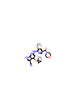 COc1cc(C(=O)N2CCOCC2)cnc1Nc1cc(OC2(C)CC2)c2c(C#N)c[nH]c2n1